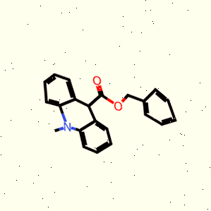 CN1c2ccccc2C(C(=O)OCc2ccccc2)c2ccccc21